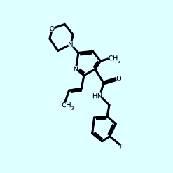 CC=Cc1nc(N2CCOCC2)cc(C)c1C(=O)NCc1cccc(F)c1